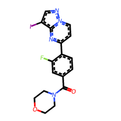 O=C(c1ccc(-c2ccn3ncc(I)c3n2)c(F)c1)N1CCOCC1